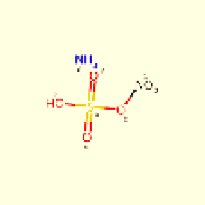 N.O=[N+]([O-])OS(=O)(=O)O